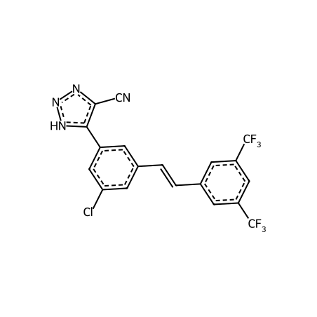 N#Cc1nn[nH]c1-c1cc(Cl)cc(C=Cc2cc(C(F)(F)F)cc(C(F)(F)F)c2)c1